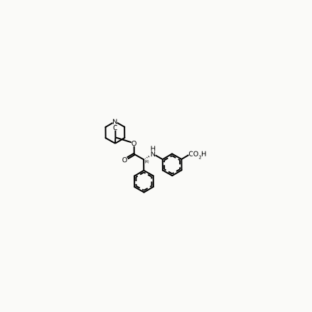 O=C(O)c1cccc(N[C@@H](C(=O)OC2CN3CCC2CC3)c2ccccc2)c1